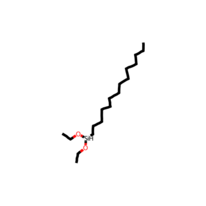 CCCCCCCCCCCCCC[SiH](OCC)OCC